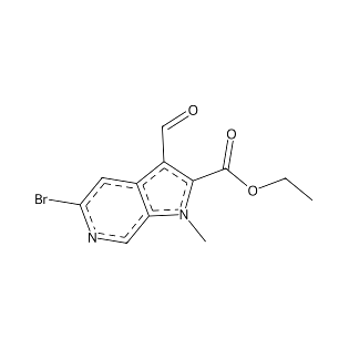 CCOC(=O)c1c(C=O)c2cc(Br)ncc2n1C